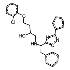 OC(CCOc1ccccc1Cl)CNC(Cc1ccccc1)c1nc(-c2ccccc2)no1